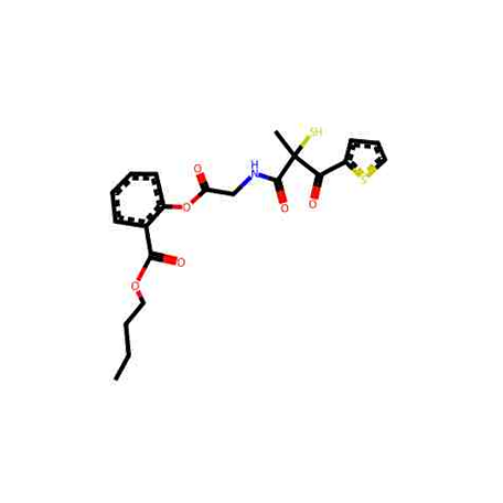 CCCCOC(=O)c1ccccc1OC(=O)CNC(=O)C(C)(S)C(=O)c1cccs1